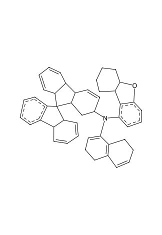 C1=CC2c3ccccc3C3(C2C=C1)C1C=CC=CC1C1C=CC(N(C2=CCCC4=C2CCC=C4)c2cccc4c2C2CCCCC2O4)CC13